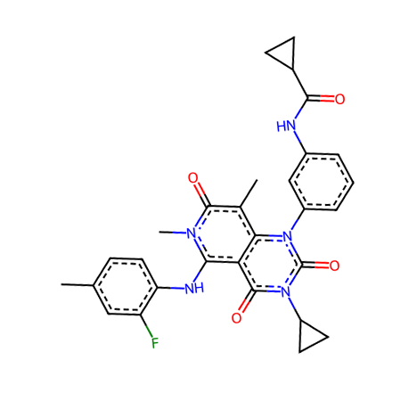 Cc1ccc(Nc2c3c(=O)n(C4CC4)c(=O)n(-c4cccc(NC(=O)C5CC5)c4)c3c(C)c(=O)n2C)c(F)c1